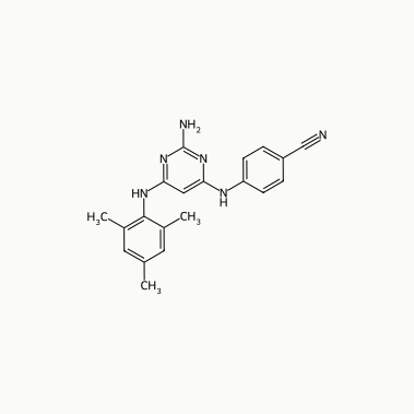 Cc1cc(C)c(Nc2cc(Nc3ccc(C#N)cc3)nc(N)n2)c(C)c1